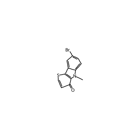 Cn1c2ccc(Br)cc2c2sccc(=O)c21